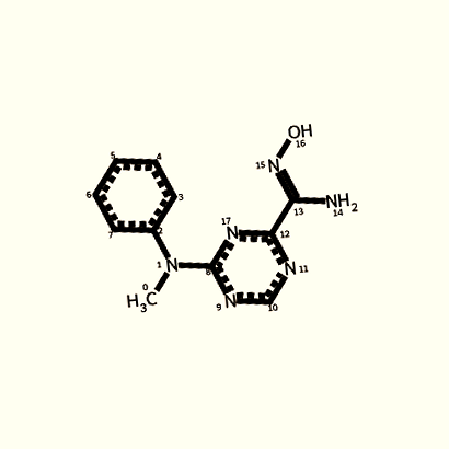 CN(c1ccccc1)c1ncnc(C(N)=NO)n1